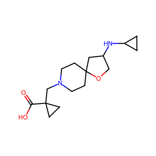 O=C(O)C1(CN2CCC3(CC2)CC(NC2CC2)CO3)CC1